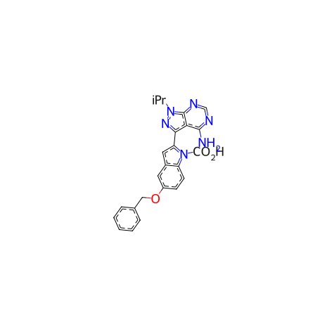 CC(C)n1nc(-c2cc3cc(OCc4ccccc4)ccc3n2C(=O)O)c2c(N)ncnc21